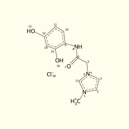 Cn1cc[n+](CC(=O)Nc2ccc(O)cc2O)c1.[Cl-]